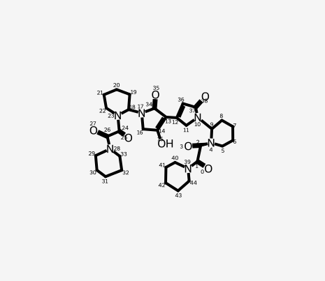 O=C(C(=O)N1CCCCC1N1CC(C2=C(O)CN(C3CCCCN3C(=O)C(=O)N3CCCCC3)C2=O)=CC1=O)N1CCCCC1